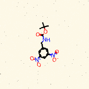 CC(C)(C)OC(=O)NCc1cc([N+](=O)[O-])cc([N+](=O)[O-])c1